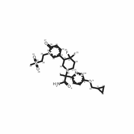 CC(C(N)=O)(c1ccc(OCC2CC2)nn1)N1CCC(F)(F)C(c2ccc(=O)n(CCS(C)(=O)=O)c2)C1